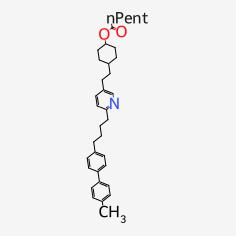 CCCCCC(=O)OC1CCC(CCc2ccc(CCCCc3ccc(-c4ccc(C)cc4)cc3)nc2)CC1